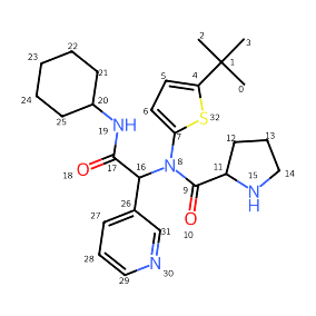 CC(C)(C)c1ccc(N(C(=O)C2CCCN2)C(C(=O)NC2CCCCC2)c2cccnc2)s1